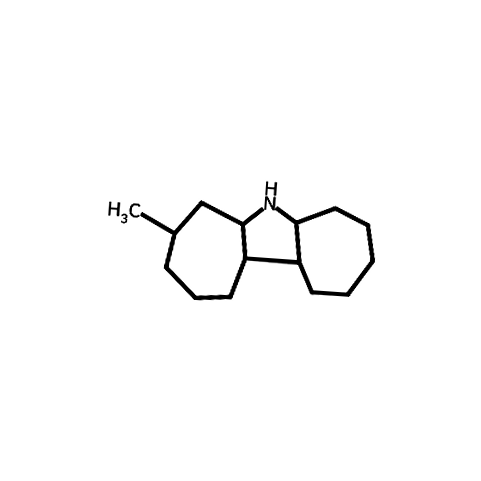 CC1CCCC2C(C1)NC1CCCCCC12